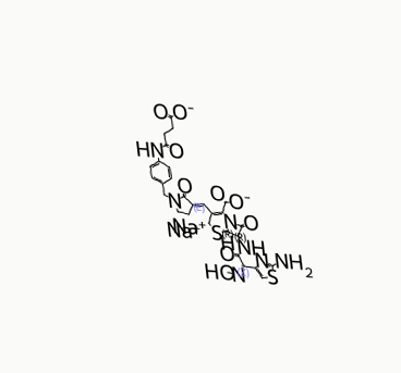 Nc1nc(/C(=N/O)C(=O)N[C@@H]2C(=O)N3C(C(=O)[O-])=C(/C=C4\CCN(Cc5ccc(NC(=O)CCC(=O)[O-])cc5)C4=O)CS[C@H]23)cs1.[Na+].[Na+]